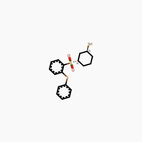 O=S(=O)(c1ccccc1Sc1ccccc1)[C@H]1CCC[C@H](S)C1